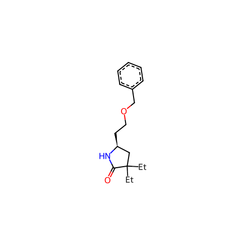 CCC1(CC)C[C@H](CCOCc2ccccc2)NC1=O